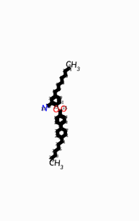 CCCCCCCCCc1ccc(OC(=O)c2ccc(C3CCC(CCCCCCC)CC3)cc2)c(C#N)c1